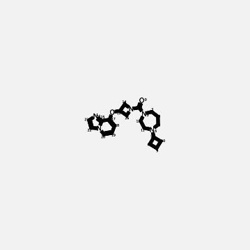 O=C(N1CCCN(C2CCC2)CC1)N1CC(Oc2cccn3ccnc23)C1